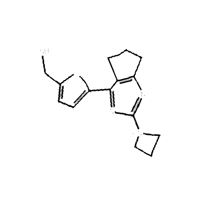 NCc1ccc(-c2nc(N3CCC3)nc3c2CCC3)s1